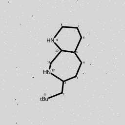 CC(C)(C)CC1CCC2CCCNC2CN1